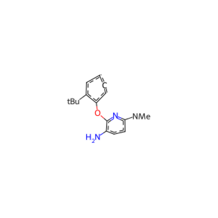 CNc1ccc(N)c(Oc2ccccc2C(C)(C)C)n1